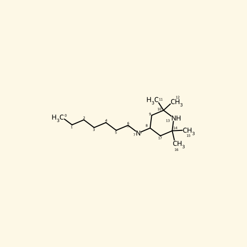 CCCCCC[C][N]C1CC(C)(C)NC(C)(C)C1